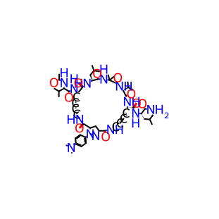 CC(=O)N[C@H](C(=O)N[C@H]1CCCCNC(=O)C2CC(=NN2c2ccc(N(C)C)cc2)C(=O)NCCCC[C@@H](C(=O)N[C@@H](CC(C)C)C(N)=O)NC(=O)[C@H](C(C)C)NC(=O)C(C)(C)NC(=O)[C@H](CC(C)C)NC1=O)C(C)C